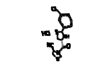 Cl.N#C[C@@H]1CSCN1C(=O)[C@@H]1CSC(c2cccc(Cl)c2)N1